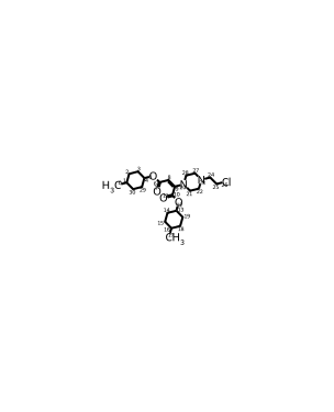 CC1CCC(OC(=O)/C=C(\C(=O)OC2CCC(C)CC2)N2CCN(CCCl)CC2)CC1